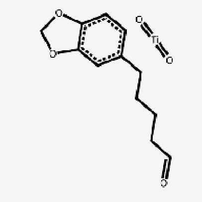 O=CCCCCc1ccc2c(c1)OCO2.[O]=[Ti]=[O]